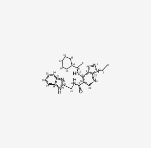 CCn1ncc2c(NC(C)C3CCCCC3)c(C(=O)NCc3nc4ccccc4[nH]3)cnc21